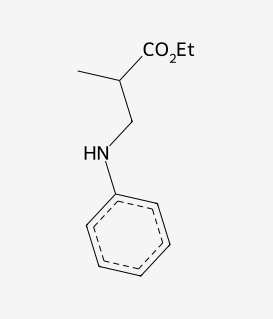 CCOC(=O)C(C)CNc1ccccc1